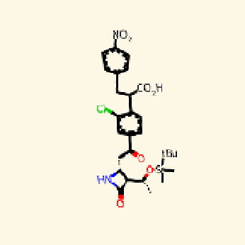 C[C@@H](O[Si](C)(C)C(C)(C)C)[C@H]1C(=O)N[C@@H]1CC(=O)c1ccc(C(Cc2ccc([N+](=O)[O-])cc2)C(=O)O)c(Cl)c1